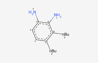 CCCCc1ccc(N)c(N)c1CCCC